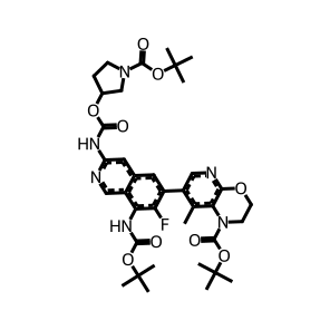 Cc1c(-c2cc3cc(NC(=O)OC4CCN(C(=O)OC(C)(C)C)C4)ncc3c(NC(=O)OC(C)(C)C)c2F)cnc2c1N(C(=O)OC(C)(C)C)CCO2